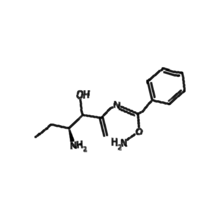 C=C(/N=C(\ON)c1ccccc1)C(O)[C@@H](N)CC